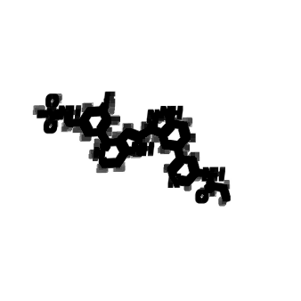 CCC(=O)Nc1cncc(-c2ccc3[nH]nc(-c4cc5c(-c6cc(F)cc(CNS(C)(=O)=O)c6)nccc5[nH]4)c3c2)c1